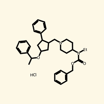 CCN(C(=O)OCc1ccccc1)C1CCN(CC2CC(OC(C)c3ccccc3)CC2c2ccccc2)CC1.Cl